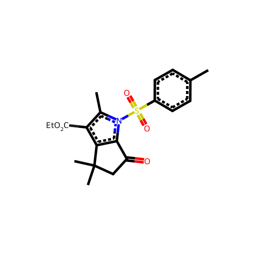 CCOC(=O)c1c2c(n(S(=O)(=O)c3ccc(C)cc3)c1C)C(=O)CC2(C)C